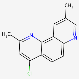 Cc1cnc2ccc3c(Cl)cc(C)nc3c2c1